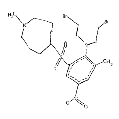 Cc1cc([N+](=O)[O-])cc(S(=O)(=O)C2CCCN(C)CCC2)c1N(CCBr)CCBr